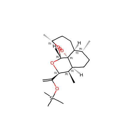 C=C(O[Si](C)(C)C)[C@H]1O[C@@H]2O[C@]3(C)CC[C@H]4[C@H](C)CC[C@@H]([C@H]1C)[C@@]24OO3